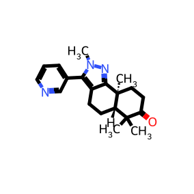 Cn1nc2c(c1-c1cccnc1)CC[C@H]1C(C)(C)C(=O)CC[C@]21C